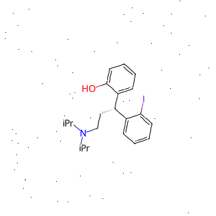 CC(C)N(CC[C@H](c1ccccc1O)c1ccccc1I)C(C)C